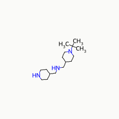 CC(C)(C)N1CCC(CNCC2CCNCC2)CC1